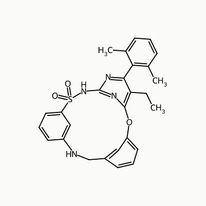 CCc1c2nc(nc1-c1c(C)cccc1C)NS(=O)(=O)c1cccc(c1)NCc1cccc(c1)O2